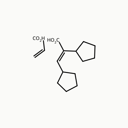 C=CC(=O)O.O=C(O)C(=CC1CCCC1)C1CCCC1